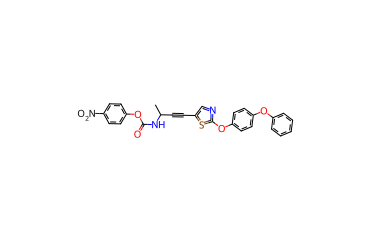 CC(C#Cc1cnc(Oc2ccc(Oc3ccccc3)cc2)s1)NC(=O)Oc1ccc([N+](=O)[O-])cc1